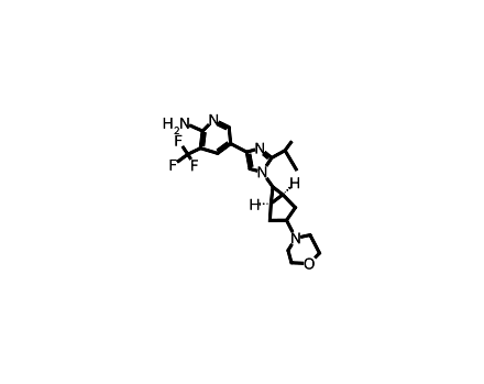 CC(C)c1nc(-c2cnc(N)c(C(F)(F)F)c2)cn1C1[C@H]2CC(N3CCOCC3)C[C@@H]12